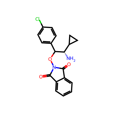 N[C@@H](C1CC1)C(ON1C(=O)c2ccccc2C1=O)c1ccc(Cl)cc1